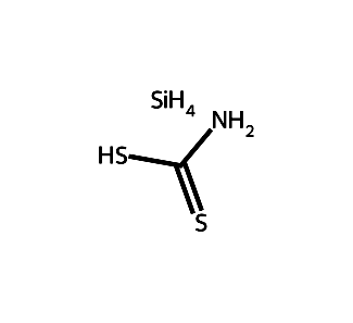 NC(=S)S.[SiH4]